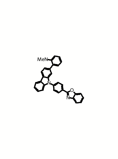 CNc1ccccc1-c1ccc2c3ccccc3n(-c3ccc(-c4nc5ccccc5o4)cc3)c2c1